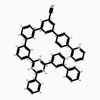 N#Cc1cc(-c2ccc(-c3ccccn3)cc2)cc(-c2cccc(-c3cccc(-c4nc(-c5ccccc5)nc(-c5cccc(-c6ccccc6)c5)n4)c3)c2)c1